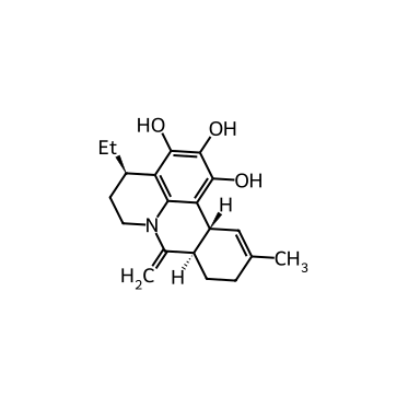 C=C1[C@@H]2CCC(C)=C[C@H]2c2c(O)c(O)c(O)c3c2N1CC[C@H]3CC